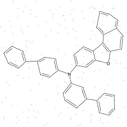 c1ccc(-c2ccc(N(c3cccc(-c4ccccc4)c3)c3ccc4c(c3)oc3ccc5ccccc5c34)cc2)cc1